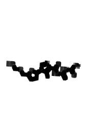 C=C(NC(=O)c1ncn(C2CCC(COCO)O2)c1C)NC(=O)C(C)C